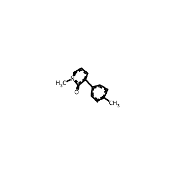 Cc1[c]cc(-c2cccn(C)c2=O)cc1